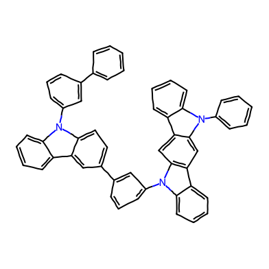 c1ccc(-c2cccc(-n3c4ccccc4c4cc(-c5cccc(-n6c7ccccc7c7cc8c(cc76)c6ccccc6n8-c6ccccc6)c5)ccc43)c2)cc1